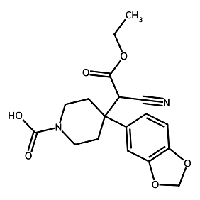 CCOC(=O)C(C#N)C1(c2ccc3c(c2)OCO3)CCN(C(=O)O)CC1